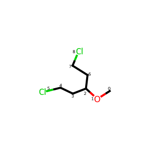 COC(CCCl)CCCl